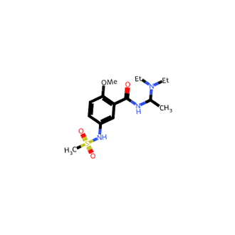 CCN(CC)C(C)NC(=O)c1cc(NS(C)(=O)=O)ccc1OC